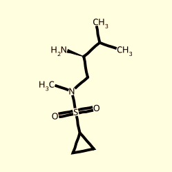 CC(C)[C@H](N)CN(C)S(=O)(=O)C1CC1